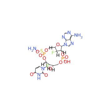 NOSP1(=O)OC[C@H]2O[C@@H](n3cnc4c(N)ncnc43)[C@H](OP(=O)(O)OC[C@H]3O[C@@H](n4ccc(=O)[nH]c4=O)[C@H](O1)[C@@H]3F)[C@@H]2F